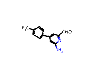 Nc1cc(-c2ccc(C(F)(F)F)cc2)cc(C=O)n1